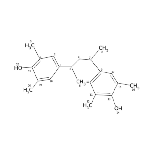 Cc1cc(C(C)CC(C)c2cc(C)c(O)c(C)c2)cc(C)c1O